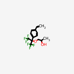 C=Cc1ccc(C(OCC(C)O)(C(F)(F)F)C(F)(F)F)cc1